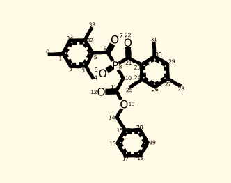 Cc1cc(C)c(C(=O)P(=O)(CC(=O)OCc2ccccc2)C(=O)c2c(C)cc(C)cc2C)c(C)c1